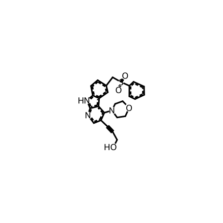 O=S(=O)(Cc1ccc2[nH]c3ncc(C#CCO)c(N4CCOCC4)c3c2c1)c1ccccc1